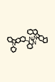 c1ccc(-n2c3ccccc3c3cc4ccc(-c5nc(-n6c7cc8ccccc8cc7c7ccc8ccccc8c76)nc6ccccc56)cc4cc32)cc1